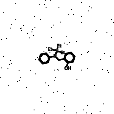 CC[Si](CC)(CC)N(Cc1ccccc1O)c1ccccc1